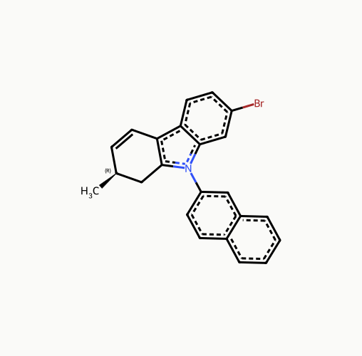 C[C@H]1C=Cc2c(n(-c3ccc4ccccc4c3)c3cc(Br)ccc23)C1